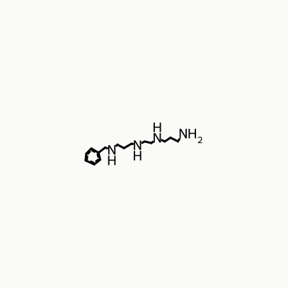 NCCCNCCNCCCNCc1ccccc1